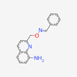 Nc1cccc2ccc(CON=Cc3ccccc3)nc12